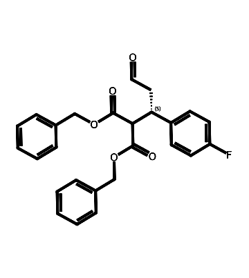 O=CC[C@H](c1ccc(F)cc1)C(C(=O)OCc1ccccc1)C(=O)OCc1ccccc1